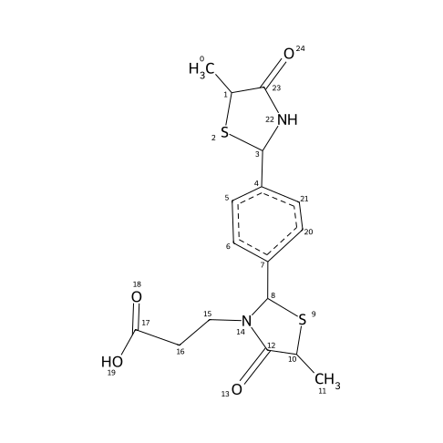 CC1SC(c2ccc(C3SC(C)C(=O)N3CCC(=O)O)cc2)NC1=O